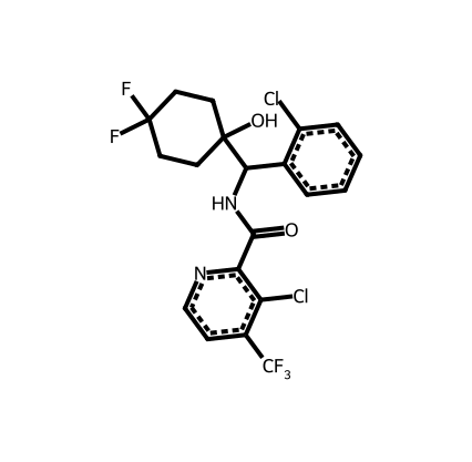 O=C(NC(c1ccccc1Cl)C1(O)CCC(F)(F)CC1)c1nccc(C(F)(F)F)c1Cl